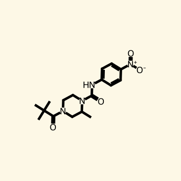 CC1CN(C(=O)C(C)(C)C)CCN1C(=O)Nc1ccc([N+](=O)[O-])cc1